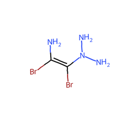 N/C(Br)=C(/Br)N(N)N